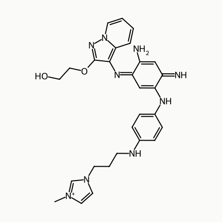 C[n+]1ccn(CCCNc2ccc(NC3=C/C(=N/c4c(OCCO)nn5ccccc45)C(N)=CC3=N)cc2)c1